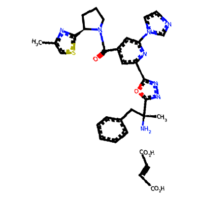 Cc1csc([C@H]2CCCN2C(=O)c2cc(-c3nnc([C@](C)(N)Cc4ccccc4)o3)nc(-n3ccnc3)c2)n1.O=C(O)C=CC(=O)O